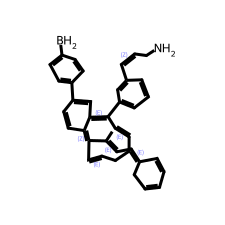 Bc1ccc(-c2ccc3/c(c2)=C(c2cccc(/C=C\CN)c2)\C=C\CC/C=C/C=3C(/C)=C/C=C2/C=CC=CC2)cc1